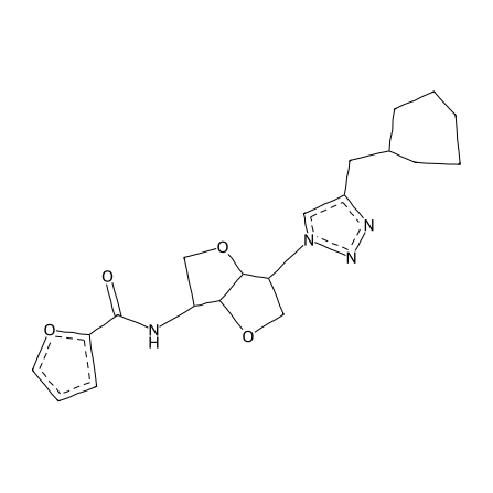 O=C(NC1COC2C1OCC2n1cc(CC2CCCCC2)nn1)c1ccco1